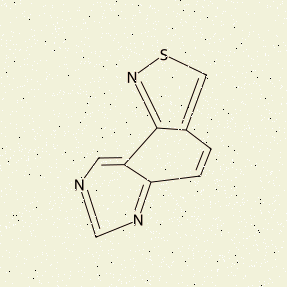 c1ncc2c(ccc3csnc32)n1